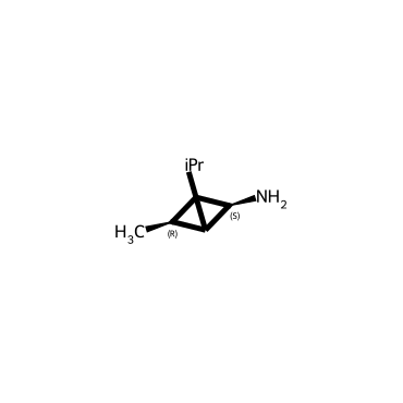 CC(C)C12C([C@H]1C)[C@@H]2N